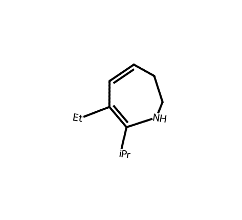 CCC1=C(C(C)C)NCCC=C1